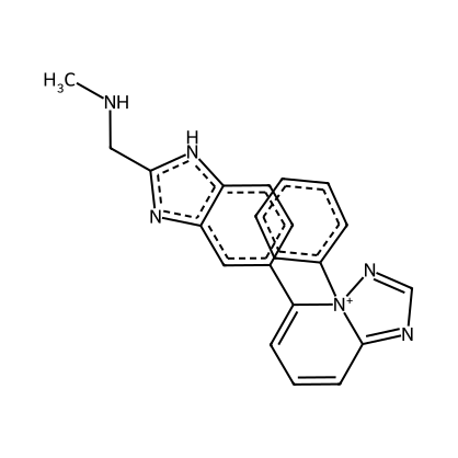 CNCc1nc2cc(C3=CC=CC4=NC=N[N+]34c3ccccc3)ccc2[nH]1